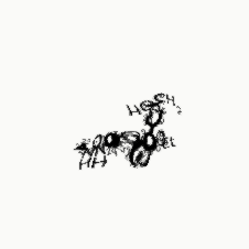 C=CC(O)N1CCC(c2cc3c(Oc4ccc(NC(=O)NC5CC5)cc4)ccnc3cc2OCC)CC1